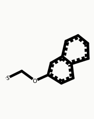 [S]COc1ccc2ccccc2c1